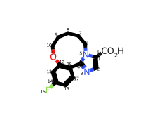 O=C(O)c1cnc2n1CCCCCOc1cc(F)ccc1-2